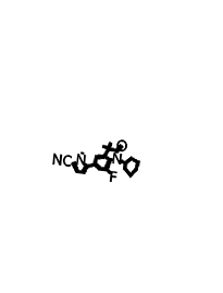 Cn1c(C#N)ccc1-c1cc(F)c2c(c1)C(C)(C)C(=O)N2C1CCCCC1